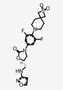 O=C1O[C@@H](CNc2ccon2)CN1c1cc(F)c(N2CCC3(CC2)CS(=O)(=O)C3)c(F)c1